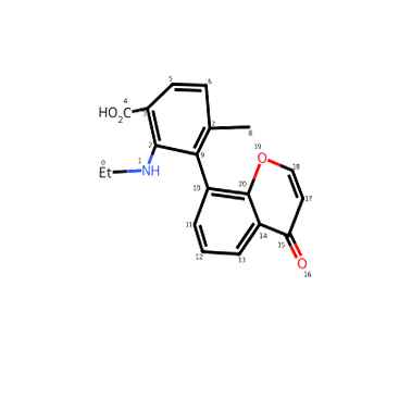 CCNc1c(C(=O)O)ccc(C)c1-c1cccc2c(=O)ccoc12